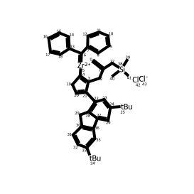 C=C(CC1=[C]([Zr+2]=[C](c2ccccc2)c2ccccc2)CC=C1c1cc(C(C)(C)C)cc2c1Cc1ccc(C(C)(C)C)cc1-2)C[Si](C)(C)C.[Cl-].[Cl-]